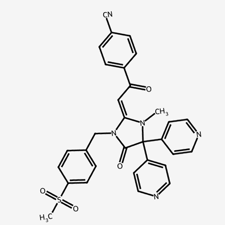 CN1C(=CC(=O)c2ccc(C#N)cc2)N(Cc2ccc(S(C)(=O)=O)cc2)C(=O)C1(c1ccncc1)c1ccncc1